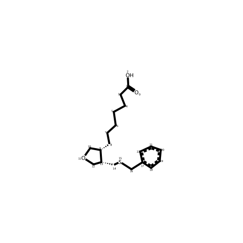 O=C(O)CCCCCC[C@H]1COC[C@H]1CSCc1ccccc1